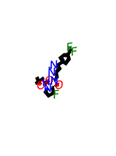 CC(C)(C)OC(=O)N1CC[C@H](F)[C@H]1C(=O)NCc1cc(-c2ccc(C(F)F)cc2)ncn1